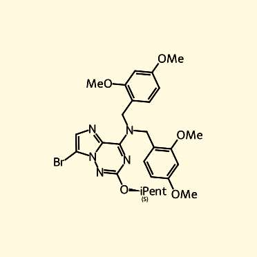 CCC[C@H](C)Oc1nc(N(Cc2ccc(OC)cc2OC)Cc2ccc(OC)cc2OC)c2ncc(Br)n2n1